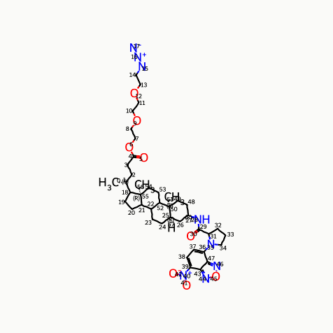 C[C@H](CCC(=O)OCCOCCOCCN=[N+]=[N-])C1CCC2C3CC[C@@H]4C[C@H](NC(=O)C5CCCN5c5ccc([N+](=O)[O-])c6nonc56)CC[C@]4(C)C3CC[C@@]21C